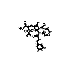 Cc1c(CC(C(=O)O)S(=O)(=O)C(C)C)nc(NC(=O)CCc2ccccc2)n1C(=O)N1CCOCC1